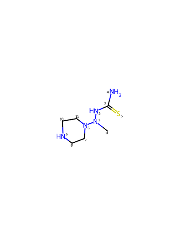 CN(NC(N)=S)N1CCNCC1